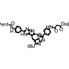 CCCCCC(=O)Nc1ccc(-c2nn3nc(C(C)(C)C)c(/C=c4/c(C(C)(C)C)nn5nc(-c6ccc(NC(=O)CC(=O)OCCCC)cc6)nc45)c3[nH]2)cc1